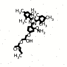 CCCCC(CC)COCC(O)COc1ccc(-c2nc(-c3c(C)cc(C)cc3C)nc(-c3c(C)cc(C)cc3C)n2)c(ON)c1